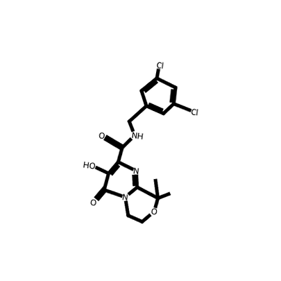 CC1(C)OCCn2c1nc(C(=O)NCc1cc(Cl)cc(Cl)c1)c(O)c2=O